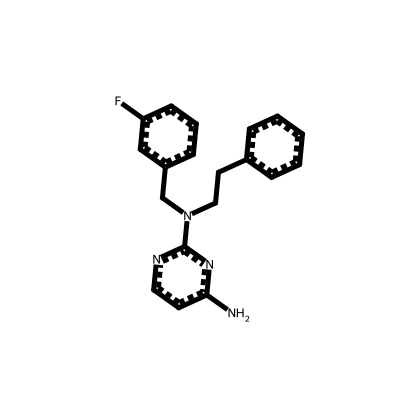 Nc1ccnc(N(CCc2ccccc2)Cc2cccc(F)c2)n1